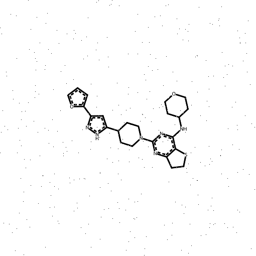 c1coc(-c2cc(C3CCN(c4nc5c(c(NC6CCOCC6)n4)SCC5)CC3)[nH]n2)c1